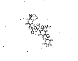 COC(=O)C(C)(OC(=O)Oc1ccc([N+](=O)[O-])cc1)c1ccc(Oc2ccccc2)cc1